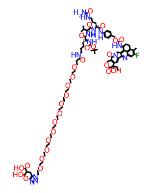 CC[C@@]1(O)C(=O)OCc2c1cc1n(c2=O)Cc2c-1nc1cc(F)c(C)c3c1c2[C@@H](NC(=O)OCc1ccc(NC(=O)[C@H](CCCNC(N)=O)NC(=O)[C@@H](NC(=O)[C@H](CCCCNC(=O)CCOCCOCCOCCOCCOCCOCCOCCOCCOCCOCCOCCOCCn2nncc2CC(C(=O)O)C(=O)O)NC(=O)OC(C)(C)C)C(C)C)cc1)CC3